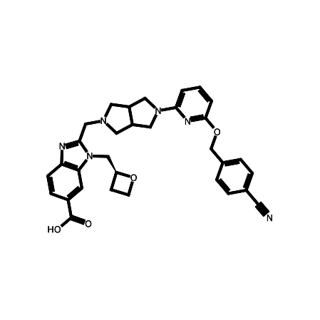 N#Cc1ccc(COc2cccc(N3CC4CN(Cc5nc6ccc(C(=O)O)cc6n5C[C@@H]5CCO5)CC4C3)n2)cc1